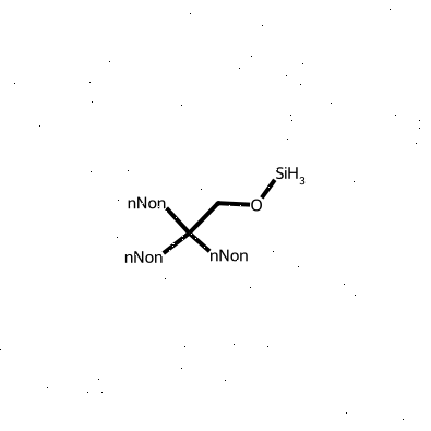 CCCCCCCCCC(CCCCCCCCC)(CCCCCCCCC)CO[SiH3]